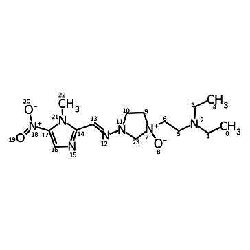 CCN(CC)CC[N+]1([O-])CCN(N=Cc2ncc([N+](=O)[O-])n2C)C1